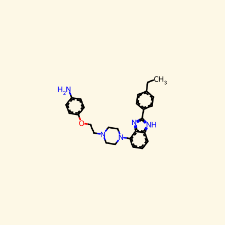 CCc1ccc(-c2nc3c(N4CCN(CCOc5ccc(N)cc5)CC4)cccc3[nH]2)cc1